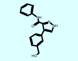 O=C(Nc1ccccc1)c1n[nH]cc1-c1cccc(CO)c1